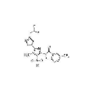 CCS(=O)(=O)c1c(N2Cc3ncc(C(F)(F)F)cc3C2=O)nc(-c2cnn(CC(F)F)c2)n1C